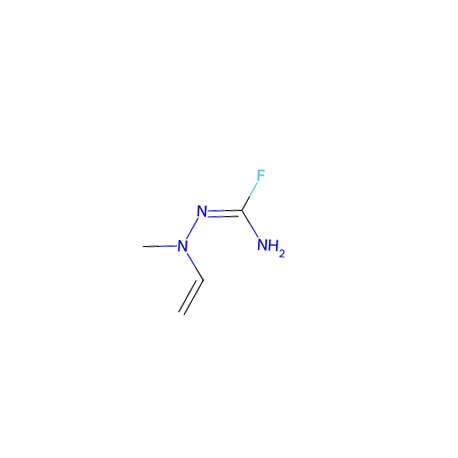 C=CN(C)/N=C(\N)F